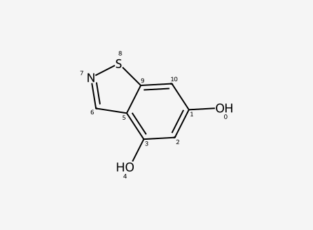 Oc1cc(O)c2cnsc2c1